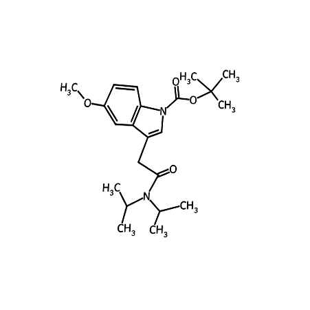 COc1ccc2c(c1)c(CC(=O)N(C(C)C)C(C)C)cn2C(=O)OC(C)(C)C